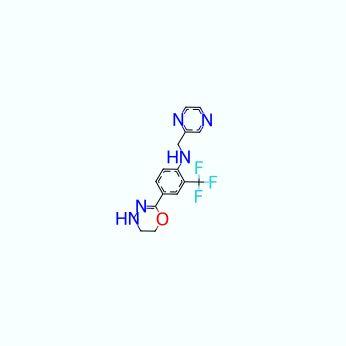 FC(F)(F)c1cc(C2=NNCCO2)ccc1NCc1cnccn1